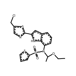 CCOC(C)N(c1cccc2cc(-c3ncc(CCl)s3)[nH]c12)S(=O)(=O)c1cccs1